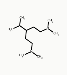 CC(C)C(CCN(C)C)CCN(C)C